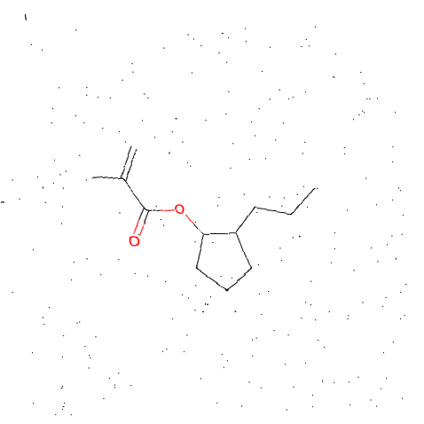 C=C(C)C(=O)OC1CCCC1CCC